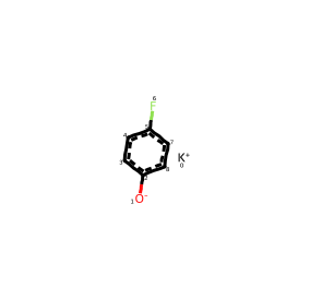 [K+].[O-]c1ccc(F)cc1